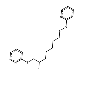 CC(CCCCCSSc1ccccn1)SSc1ccccn1